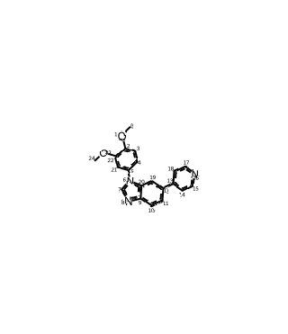 COc1ccc(-n2cnc3ccc(-c4ccncc4)cc32)cc1OC